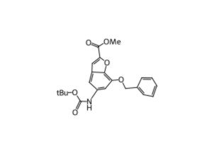 COC(=O)c1cc2cc(NC(=O)OC(C)(C)C)cc(OCc3ccccc3)c2o1